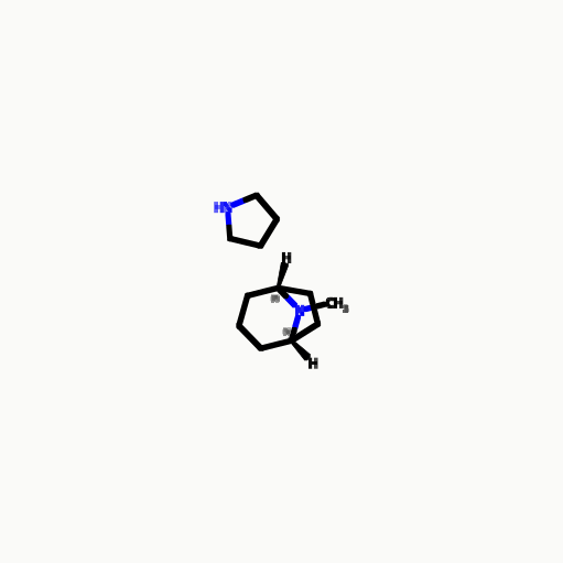 C1CCNC1.CN1[C@@H]2CCC[C@H]1CC2